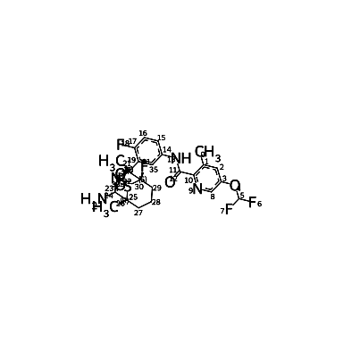 Cc1cc(OC(F)F)cnc1C(=O)Nc1ccc(F)c([C@@]2(C)N=C(N)[C@@]3(C)CCC[C@]2(F)S3(=O)=O)c1